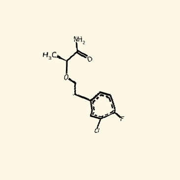 C[C@H](OC[CH]c1ccc(F)c(Cl)c1)C(N)=O